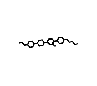 CCCCCC1CCC(c2ccc(C3CCC(C4CCC(CCC)CC4)CC3)cc2F)CC1